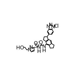 O=C(Nc1c2c(cc3c1CCC3c1ccc3c(c1)nnn3Cl)CCC2)N[S+]([O-])c1ccn(CCO)n1